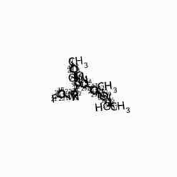 Cc1ccc(S(=O)(=O)n2cc(-c3cnn(Cc4cccc(F)c4)c3)c3cc(-c4ccc(N5CCN(CC(C)O)CC5)c(C)c4)cnc32)cc1